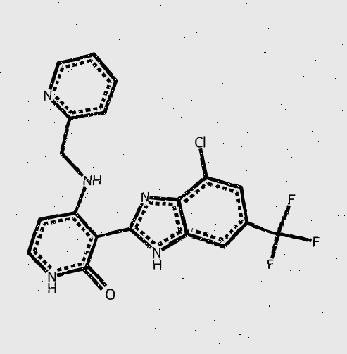 O=c1[nH]ccc(NCc2ccccn2)c1-c1nc2c(Cl)cc(C(F)(F)F)cc2[nH]1